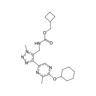 Cc1nc(-c2nnn(C)c2CNC(=O)OCC2CCC2)cnc1OC1CCCCC1